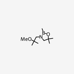 COC(C)(C)CN1CC(C)(C)OB1C